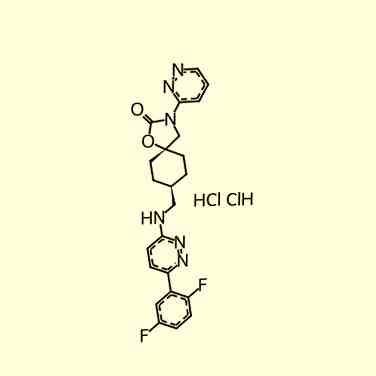 Cl.Cl.O=C1O[C@]2(CC[C@H](CNc3ccc(-c4cc(F)ccc4F)nn3)CC2)CN1c1cccnn1